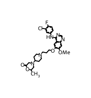 COc1cc2ncnc(Nc3ccc(F)c(Cl)c3)c2cc1OCCCN1CCC(N2CC(=O)OC(C)C2)CC1